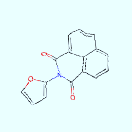 O=C1c2cccc3cccc(c23)C(=O)N1c1ccco1